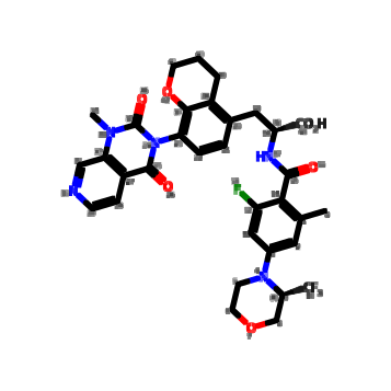 Cc1cc(N2CCOC[C@@H]2C(F)(F)F)cc(F)c1C(=O)N[C@@H](Cc1ccc(-n2c(=O)c3ccncc3n(C)c2=O)c2c1CCCO2)C(=O)O